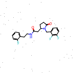 O=C(CC1CCC(=O)N1Cc1cccc(F)c1F)NCCc1ccccc1F